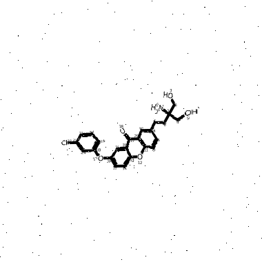 NC(CO)(CO)CCc1ccc2oc3ccc(Oc4cccc(Cl)c4)cc3c(=O)c2c1